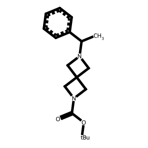 CC(c1ccccc1)N1CC2(CN(C(=O)OC(C)(C)C)C2)C1